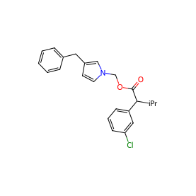 CC(C)C(C(=O)OCn1ccc(Cc2ccccc2)c1)c1cccc(Cl)c1